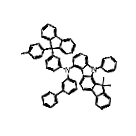 Cc1ccc(C2(c3cccc(N(c4cccc(-c5ccccc5)c4)c4cccc5c4c4ccc6c(c4n5-c4ccccc4)C(C)(C)c4ccccc4-6)c3)c3ccccc3-c3ccccc32)cc1